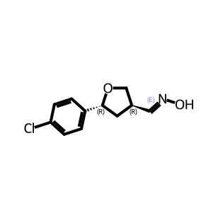 O/N=C/[C@@H]1CO[C@@H](c2ccc(Cl)cc2)C1